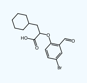 O=Cc1cc(Br)ccc1OC(CC1CCCCC1)C(=O)O